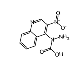 NN(C(=O)O)c1c([N+](=O)[O-])cnc2ccccc12